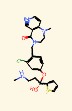 CNCC[C@@](O)(Oc1ccc(CN2CCN(C)c3ccncc3C2=O)c(Cl)c1)c1cccs1